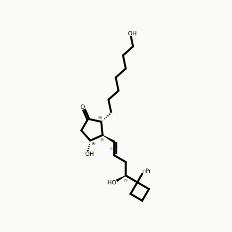 CCCC1([C@@H](O)C/C=C/[C@H]2[C@H](O)CC(=O)[C@@H]2CCCCCCCO)CCC1